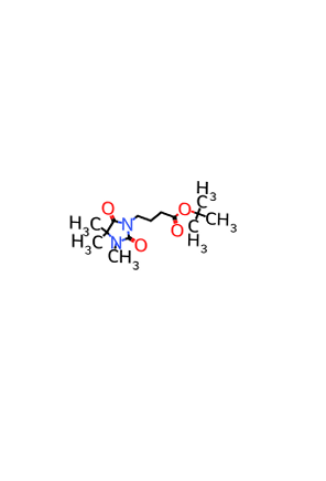 CN1C(=O)N(CCCC(=O)OC(C)(C)C)C(=O)C1(C)C